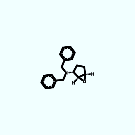 c1ccc(CN(Cc2ccccc2)[C@@H]2CC[C@H]3O[C@@H]23)cc1